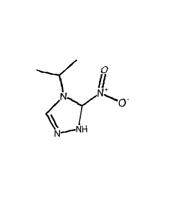 CC(C)N1C=NNC1[N+](=O)[O-]